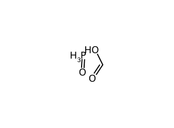 O=CO.O=[PH3]